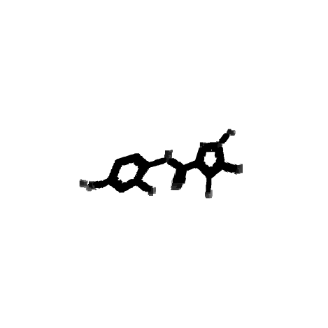 CC(=O)n1nc(C(=O)Nc2ccc(C)cc2F)c(Cl)c1Cl